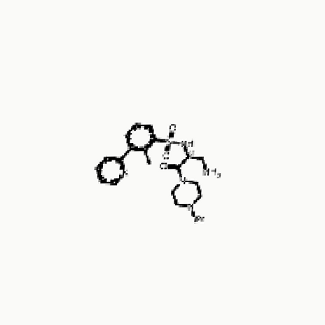 Cc1c(-c2ccccn2)cccc1S(=O)(=O)N[C@@H](CN)C(=O)N1CCN(C(C)C)CC1